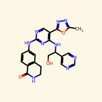 Cc1nnc(-c2cnc(Nc3ccc4c(c3)CCNC4=O)nc2NC(CO)c2cncnc2)o1